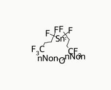 CCCCCCCCCOCCCCCCCCC.FC(F)(F)CC[C](F)(F)[Sn][C](F)(F)CCC(F)(F)F